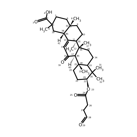 CC1(C(=O)O)CC[C@]2(C)CC[C@]3(C)C(=CC(=O)[C@@H]4[C@@]5(C)CC[C@H](OC(=O)CCC=O)C(C)(C)C5CC[C@]43C)[C@@H]2C1